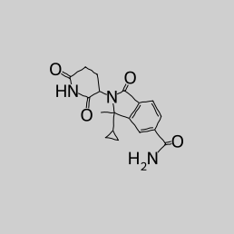 CC1(C2CC2)c2cc(C(N)=O)ccc2C(=O)N1C1CCC(=O)NC1=O